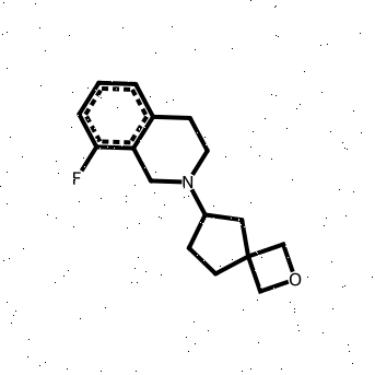 Fc1cccc2c1CN(C1CCC3(COC3)C1)CC2